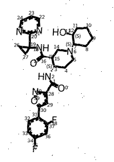 O=C(N[C@H]1CCN([C@H]2CCCC[C@@H]2O)C[C@@H]1C(=O)NC1(c2ncccn2)CC1)c1cc(-c2ccc(F)cc2F)on1